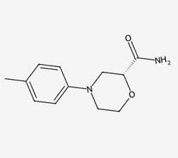 Cc1ccc(N2CCO[C@@H](C(N)=O)C2)cc1